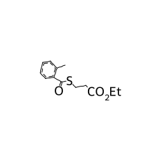 CCOC(=O)CCSC(=O)c1ccccc1C